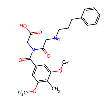 COc1cc(C(=O)N(CC(=O)O)C(=O)CNCCCc2ccccc2)cc(OC)c1C